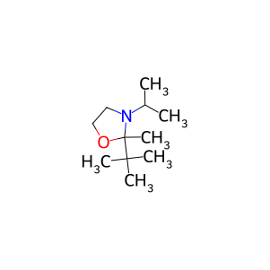 CC(C)N1CCOC1(C)C(C)(C)C